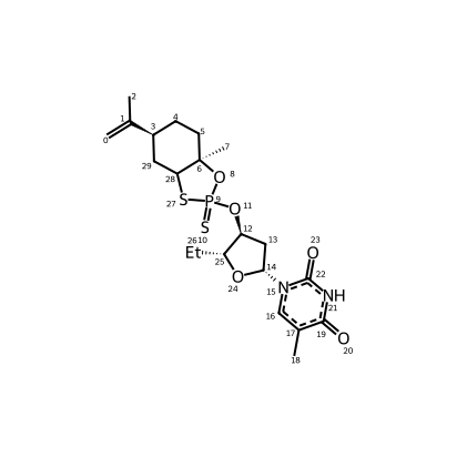 C=C(C)[C@H]1CC[C@@]2(C)OP(=S)(O[C@H]3C[C@H](n4cc(C)c(=O)[nH]c4=O)O[C@@H]3CC)SC2C1